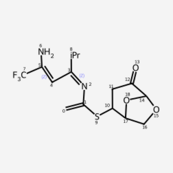 C=C(/N=C(\C=C(/N)C(F)(F)F)C(C)C)SC1CC(=O)C2OCC1O2